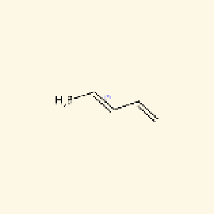 B/C=C/C=C